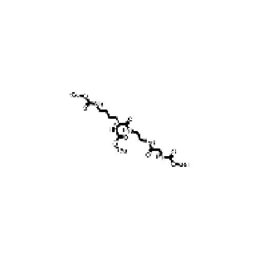 CC(C)(C)OC(=O)NCCCC[C@H](NC(=O)OC(C)(C)C)C(=O)NCCNC(=O)CNC(=O)OC(C)(C)C